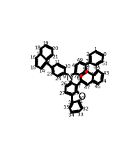 c1ccc(-c2ccc(N(c3ccc(-c4cccc5ccccc45)cc3)c3ccc4c(oc5ccccc54)c3-c3ccc4ccccc4c3)cc2)cc1